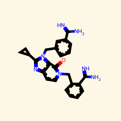 N=C(N)c1cccc(Cn2c(C3CC3)nc3ccn(Cc4ccccc4C(=N)N)c(=O)c32)c1